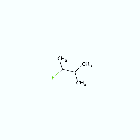 C[C](C)C(C)F